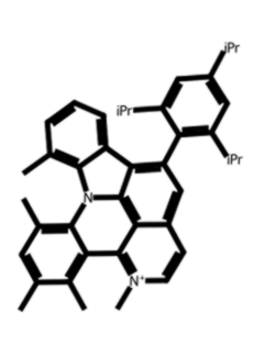 Cc1cc(C)c2c(c1C)c1c3c(cc[n+]1C)cc(-c1c(C(C)C)cc(C(C)C)cc1C(C)C)c1c4cccc(C)c4n2c13